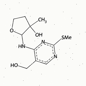 CSc1ncc(CO)c(NC2OCCC2(C)O)n1